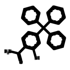 NC(=O)c1ccc(C(c2ccccc2)(c2ccccc2)c2ccccc2)cc1S